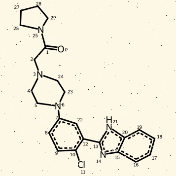 O=C(CN1CCN(c2ccc(Cl)c(-c3nc4ccccc4[nH]3)c2)CC1)N1CCCC1